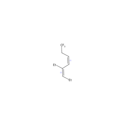 CC/C=C(\C=C/CC(F)(F)F)CC